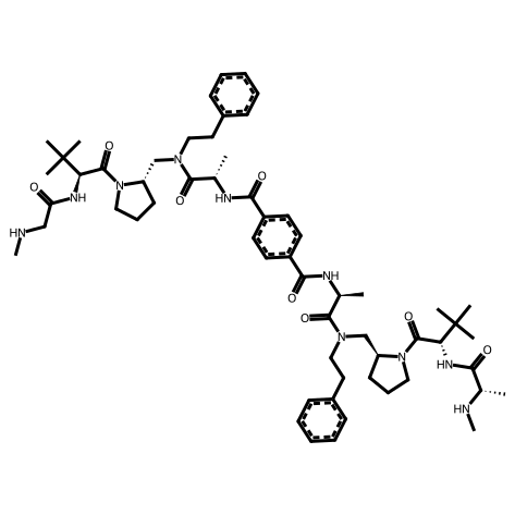 CNCC(=O)N[C@H](C(=O)N1CCC[C@H]1CN(CCc1ccccc1)C(=O)[C@H](C)NC(=O)c1ccc(C(=O)N[C@@H](C)C(=O)N(CCc2ccccc2)C[C@@H]2CCCN2C(=O)[C@@H](NC(=O)[C@H](C)NC)C(C)(C)C)cc1)C(C)(C)C